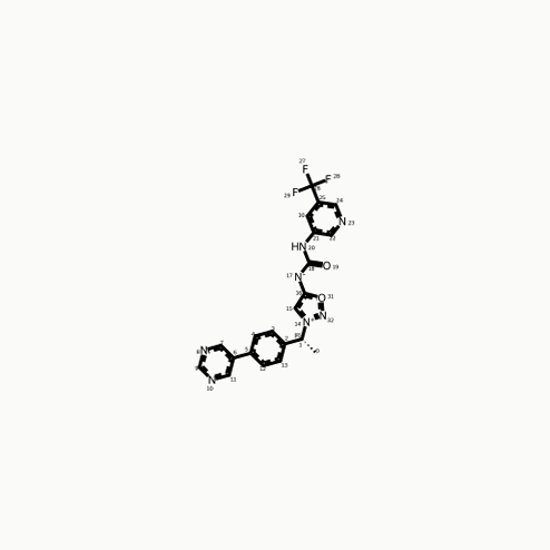 C[C@H](c1ccc(-c2cncnc2)cc1)[n+]1cc([N-]C(=O)Nc2cncc(C(F)(F)F)c2)on1